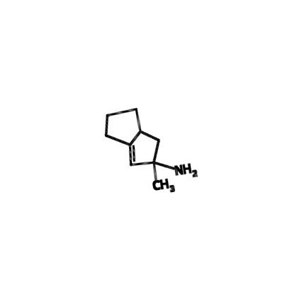 CC1(N)C=C2CCCC2C1